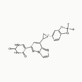 O=c1[nH]cc(-c2cc(C3C[C@@H]3c3ccc4c(c3)OC(F)(F)O4)c3nccn3n2)c(=O)[nH]1